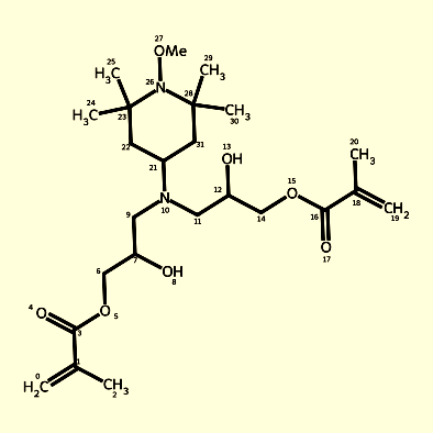 C=C(C)C(=O)OCC(O)CN(CC(O)COC(=O)C(=C)C)C1CC(C)(C)N(OC)C(C)(C)C1